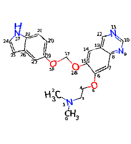 CN(C)CCOc1cc2ncncc2cc1OCOc1ccc2[nH]ccc2c1